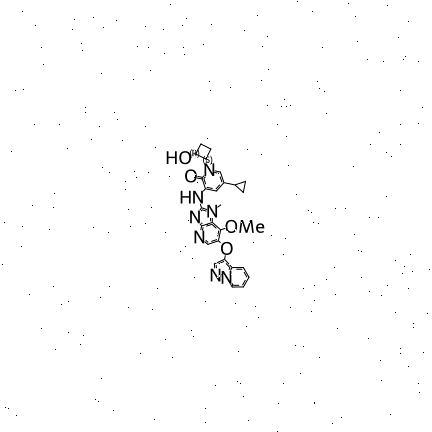 COc1c(Oc2cnn3ccccc23)cnc2nc(Nc3cc(C4CC4)cn([C@H]4CC[C@H]4O)c3=O)n(C)c12